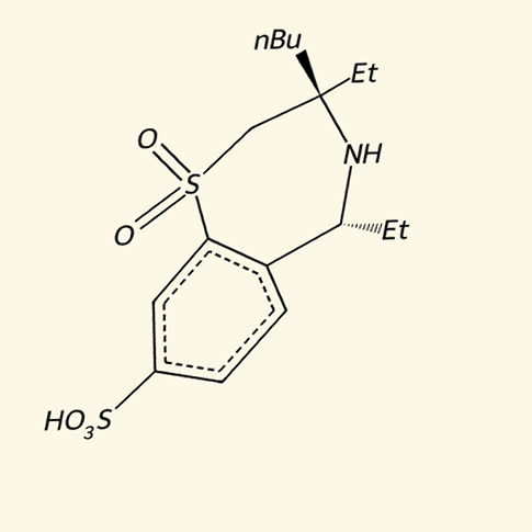 CCCC[C@]1(CC)CS(=O)(=O)c2cc(S(=O)(=O)O)ccc2[C@@H](CC)N1